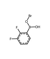 OB(OBr)c1cccc(F)c1F